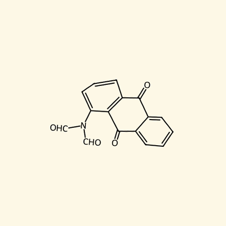 O=CN(C=O)c1cccc2c1C(=O)c1ccccc1C2=O